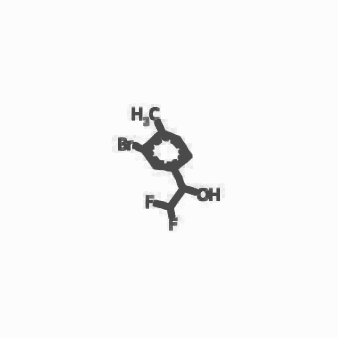 Cc1ccc(C(O)C(F)F)cc1Br